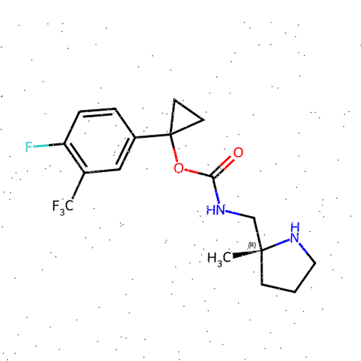 C[C@]1(CNC(=O)OC2(c3ccc(F)c(C(F)(F)F)c3)CC2)CCCN1